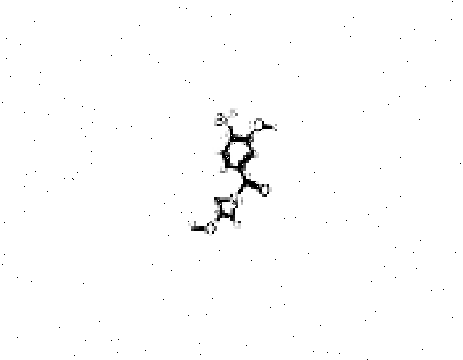 COc1cc(C(=O)N2CC(OC)C2)ccc1Br